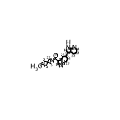 CN1CC2(C1)CN(C(=O)c1cnn3ccc(-c4c[nH]c5ncccc45)cc13)C2